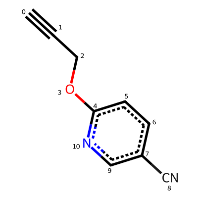 C#CCOc1ccc(C#N)cn1